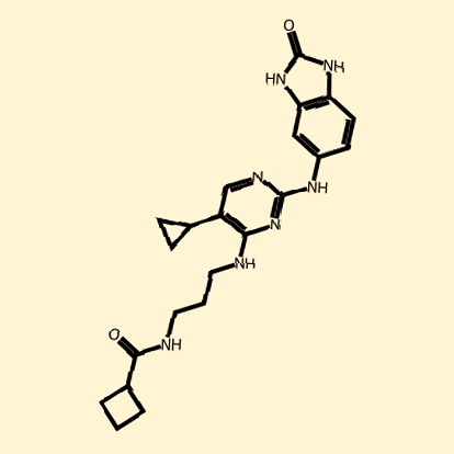 O=C(NCCCNc1nc(Nc2ccc3[nH]c(=O)[nH]c3c2)ncc1C1CC1)C1CCC1